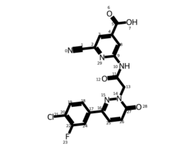 N#Cc1cc(C(=O)O)cc(NC(=O)Cn2nc(-c3ccc(Cl)c(F)c3)ccc2=O)n1